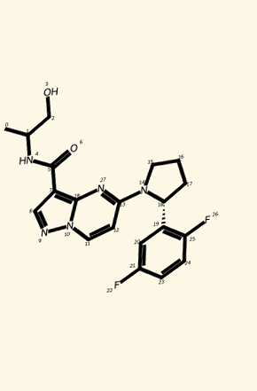 CC(CO)NC(=O)c1cnn2ccc(N3CCC[C@@H]3c3cc(F)ccc3F)nc12